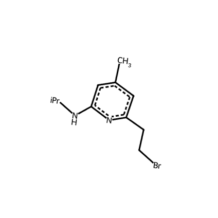 Cc1cc(CCBr)nc(NC(C)C)c1